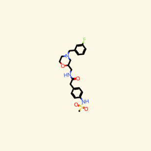 CS(=O)(=O)Nc1ccc(CC(=O)NCC2CN(Cc3cccc(F)c3)CCO2)cc1